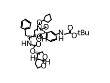 CC(C)(C)OC(=O)CNc1cccc(S(=O)(=O)N(C[C@@H](O)[C@H](Cc2ccccc2)NC(=O)O[C@H]2CO[C@H]3OCC[C@H]32)OC2CCCC2)c1